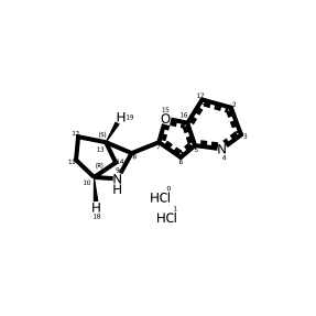 Cl.Cl.c1cnc2cc(C3N[C@@H]4CC[C@H]3C4)oc2c1